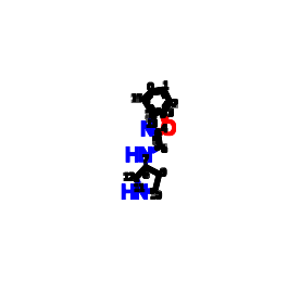 c1ccc2oc(CN[C@@H]3CCNC3)nc2c1